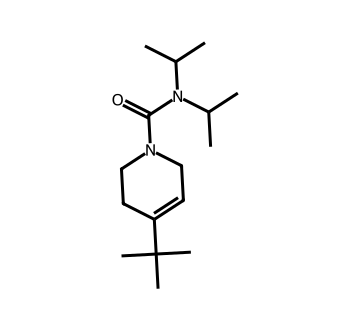 CC(C)N(C(=O)N1CC=C(C(C)(C)C)CC1)C(C)C